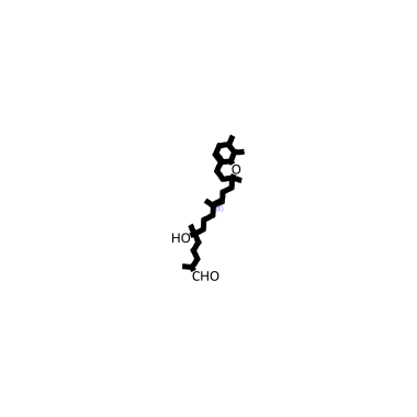 C/C(=C\CCC1(C)CCC2=CCC(C)C(C)C2O1)CCCC(C)(O)CCCC(C)C=O